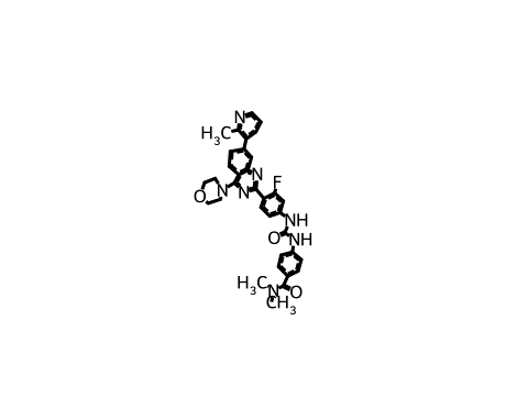 Cc1ncccc1-c1ccc2c(N3CCOCC3)nc(-c3ccc(NC(=O)Nc4ccc(C(=O)N(C)C)cc4)cc3F)nc2c1